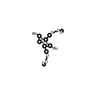 CC(C)(C)c1ccc2c(c1)-c1cccc3c1B2c1cc(-c2ccc(OCCCOc4ccco4)cc2)cc2c1N3c1ccc(-c3ccc(OCCCOc4ccco4)cc3)c3c1B2c1ccc(C(C)(C)C)cc1-3